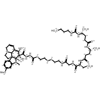 CC[C@]12C=CCN3CC[C@@]4(c5ccc(OC)cc5N(C)[C@H]4[C@@](O)(C(=O)NNC(=O)OCCSSCCNC(=O)CNC(=O)[C@H](CC(=O)O)NC(=O)CC[C@H](NC(=O)CC[C@H](NC(=O)NCCCC(=O)O)C(=O)O)C(=O)O)[C@@H]1O)C32